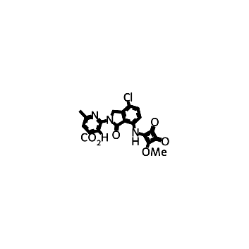 COc1c(Nc2ccc(Cl)c3c2C(=O)N(c2nc(C)ccc2C(=O)O)C3)c(=O)c1=O